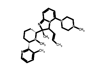 C/C=C/C1N2C(N3CCN(C)CC3)=CC=CC2=N[C@@]1(C)[C@H]1CCC[C@@H](c2ncccc2C)N1C